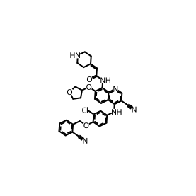 N#Cc1ccccc1COc1ccc(Nc2c(C#N)cnc3c(NC(=O)C=C4CCNCC4)c(OC4CCOC4)ccc23)cc1Cl